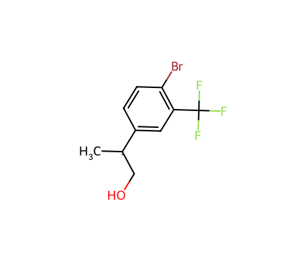 C[C](CO)c1ccc(Br)c(C(F)(F)F)c1